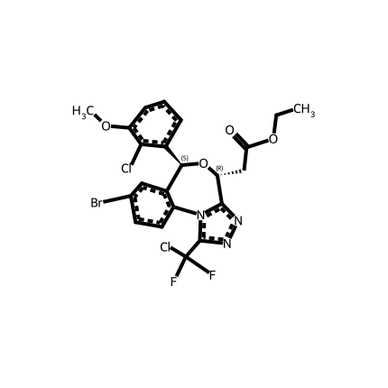 CCOC(=O)C[C@H]1O[C@H](c2cccc(OC)c2Cl)c2cc(Br)ccc2-n2c1nnc2C(F)(F)Cl